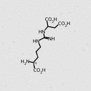 N=C(NCCC[C@H](N)C(=O)O)NC(CC(=O)O)C(=O)O